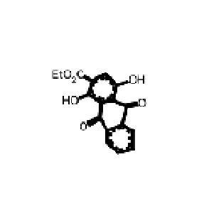 CCOC(=O)c1cc(O)c2c(c1O)C(=O)c1ccccc1C2=O